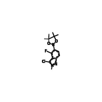 Cn1nc2ccc(B3OC(C)(C)C(C)(C)O3)c(F)c2c1Cl